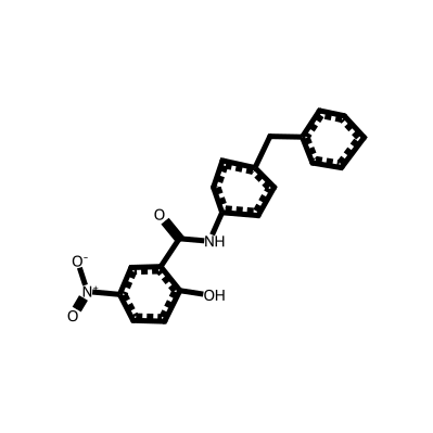 O=C(Nc1ccc(Cc2ccccc2)cc1)c1cc([N+](=O)[O-])ccc1O